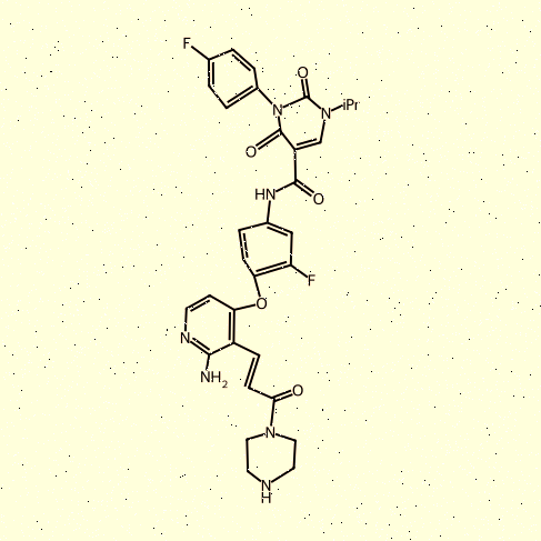 CC(C)n1cc(C(=O)Nc2ccc(Oc3ccnc(N)c3C=CC(=O)N3CCNCC3)c(F)c2)c(=O)n(-c2ccc(F)cc2)c1=O